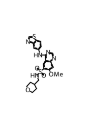 COc1cc2ncnc(Nc3ccc4scnc4c3)c2cc1S(=O)(=O)NCC1CCOCC1